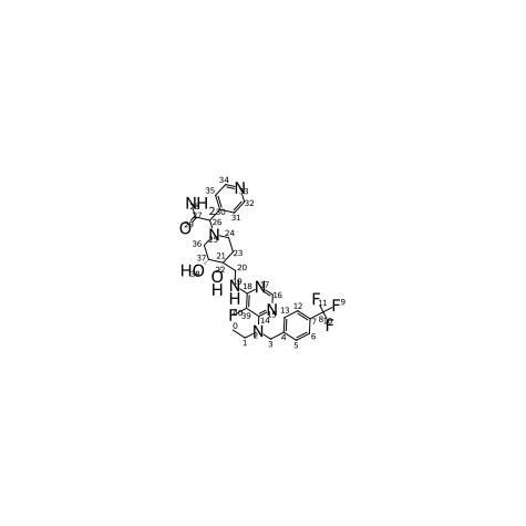 CCN(Cc1ccc(C(F)(F)F)cc1)c1ncnc(NC[C@]2(O)CCN(C(C(N)=O)c3ccncc3)C[C@H]2O)c1F